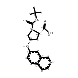 CC(C)(C)OC(=O)N1C[C@@H](Oc2ccc3ccncc3c2)C[C@H]1C(=O)O